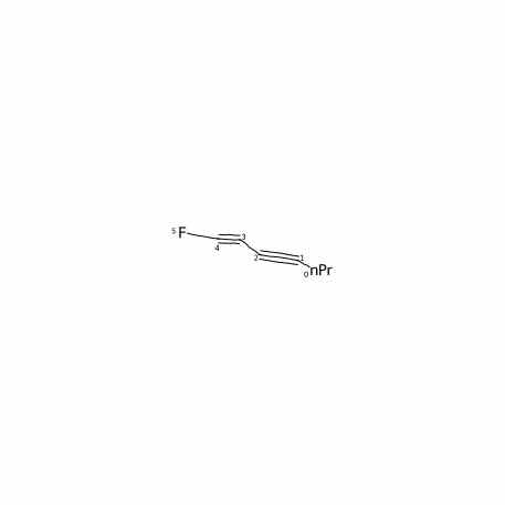 [CH2]CCC#CC#CF